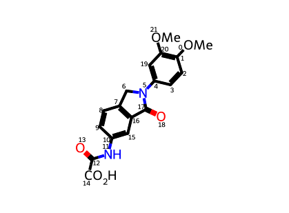 COc1ccc(N2Cc3ccc(NC(=O)C(=O)O)cc3C2=O)cc1OC